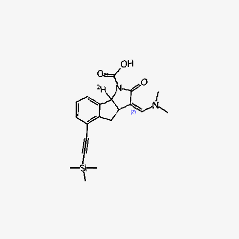 [2H]C12c3cccc(C#C[Si](C)(C)C)c3CC1/C(=C/N(C)C)C(=O)N2C(=O)O